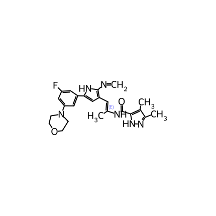 C=Nc1[nH]c(-c2cc(F)cc(N3CCOCC3)c2)cc1/C=C(\C)NC(=O)c1[nH]nc(C)c1C